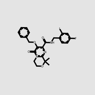 CC1(C)OCCn2c1nc(C(=O)NCc1ccc(F)cc1I)c(OCc1ccccc1)c2=O